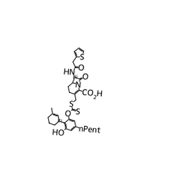 CCCCCc1cc(O)c([C@@H]2C=C(C)CCC2)c(OC(=S)SCC2=C(C(=O)O)N3C(=O)[C@@H](NC(=O)Cc4cccs4)C3CC2)c1